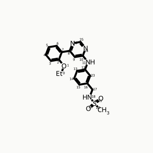 CCOc1ccccc1-c1cc(Nc2cccc(CNS(C)(=O)=O)c2)ncn1